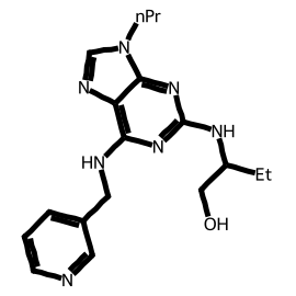 CCCn1cnc2c(NCc3cccnc3)nc(NC(CC)CO)nc21